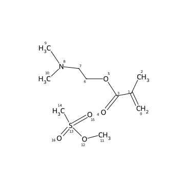 C=C(C)C(=O)OCCN(C)C.COS(C)(=O)=O